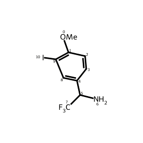 COc1ccc(C(N)C(F)(F)F)cc1I